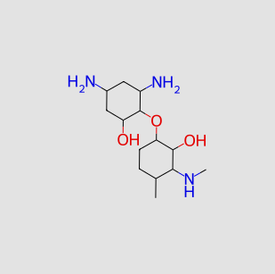 CNC1C(C)CCC(OC2C(N)CC(N)CC2O)C1O